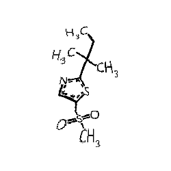 CCC(C)(C)c1ncc(S(C)(=O)=O)s1